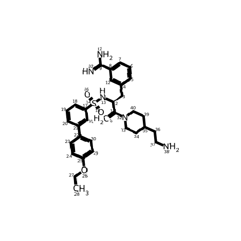 C=C([C@H](Cc1cccc(C(=N)N)c1)NS(=O)(=O)c1cccc(-c2ccc(OCC)cc2)c1)N1CCC(CCN)CC1